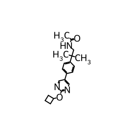 CC(=O)NCC(C)(C)c1ccc(-c2cnc(OC3CCC3)nc2)cc1